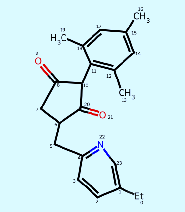 CCc1ccc(CC2CC(=O)C(c3c(C)cc(C)cc3C)C2=O)nc1